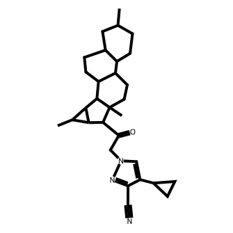 CC1CCC2C(CCC3C2CCC2(C)C(C(=O)Cn4cc(C5CC5)c(C#N)n4)C4C(C)C4C32)C1